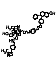 Cc1ncsc1C1C=CC(CNC(=O)[C@@H]2C[C@@H](O)CN2C(=O)[C@@H](NC(=O)COCCN2CCN(CCOc3ccc([C@@H]4c5ccc(O)cc5CC[C@@H]4c4ccccc4)cc3)CC2)C(C)(C)C)=CC1